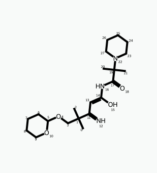 CC(C)(COC1CCCCO1)C(=N)/C=C(\O)NC(=O)C(C)(C)N1CCCCC1